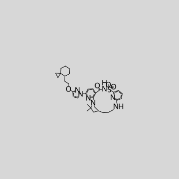 CC1(C)CC2CCCNc3cccc(n3)S(=O)(=O)NC(=O)c3ccc(-n4ccc(OCCC5CCCCC56CC6)n4)nc3N1C2